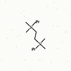 CC(C)[Si](C)(C)CC[Si](C)(C)C(C)C